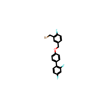 Fc1ccc(-c2ccc(OCc3ccc(F)c(CBr)c3)cc2)c(F)c1